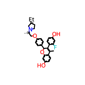 CC[C@@H]1CCN([C@@H](C)COc2ccc(C3Oc4cc(O)ccc4C(C)=C3c3ccc(O)cc3F)cc2)C1